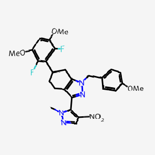 COc1ccc(Cn2nc(-c3c([N+](=O)[O-])cnn3C)c3c2CC(c2c(F)c(OC)cc(OC)c2F)CC3)cc1